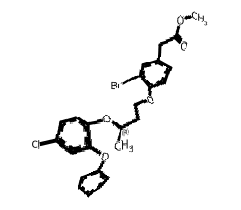 COC(=O)Cc1ccc(OCC[C@@H](C)Oc2ccc(Cl)cc2Oc2ccccc2)c(Br)c1